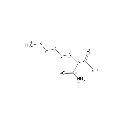 CCCCCNC(C(N)=O)C(N)=O